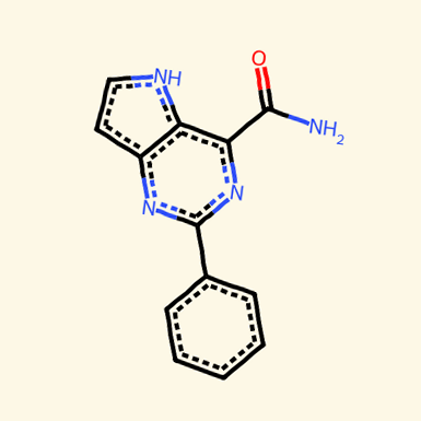 NC(=O)c1nc(-c2ccccc2)nc2cc[nH]c12